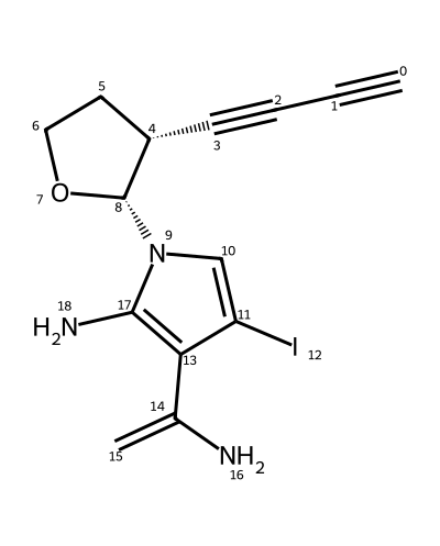 C#CC#C[C@H]1CCO[C@H]1n1cc(I)c(C(=C)N)c1N